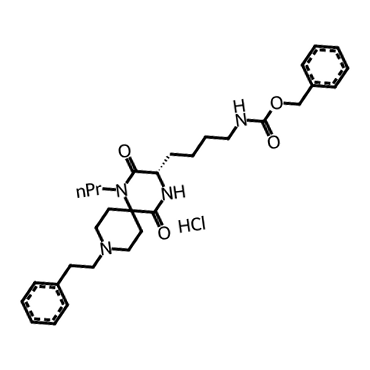 CCCN1C(=O)[C@H](CCCCNC(=O)OCc2ccccc2)NC(=O)C12CCN(CCc1ccccc1)CC2.Cl